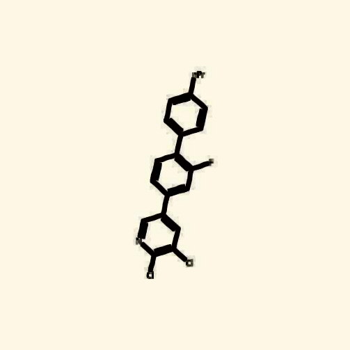 CCCc1ccc(-c2ccc(-c3cnc(Cl)c(Cl)c3)cc2F)cc1